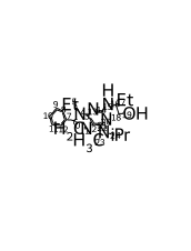 C=Nc1c(N(CC)Cc2ccccc2)nc(NC(CC)CO)nc1N(C)C(C)C